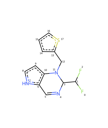 FC(F)C1N=Cc2[nH]ccc2N1Cc1cccs1